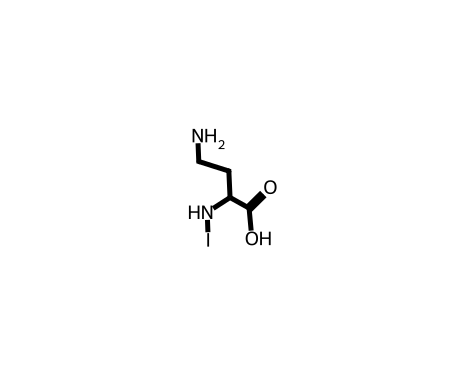 NCCC(NI)C(=O)O